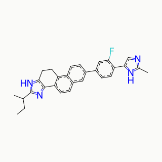 CCC(C)c1nc2c([nH]1)CCc1c-2ccc2cc(-c3ccc(-c4cnc(C)[nH]4)c(F)c3)ccc12